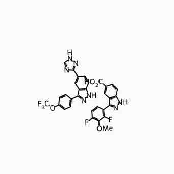 COc1c(F)ccc(-c2n[nH]c3ccc(C(=O)O)cc23)c1F.FC(F)(F)Oc1ccc(-c2n[nH]c3ccc(-c4nc[nH]n4)cc23)cc1